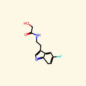 O=C(CO)NCCC1=CN=C2CC=C(F)C=C12